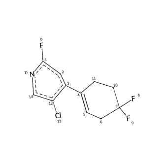 Fc1cc(C2=CCC(F)(F)CC2)c(Cl)cn1